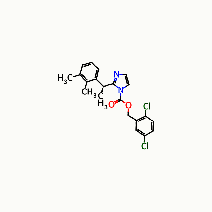 Cc1cccc([C@H](C)c2nccn2C(=O)OCc2cc(Cl)ccc2Cl)c1C